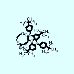 C=C1/C=C\C2=C(COCCCO1)N(c1ccc(C(C)(C)C)cc1)c1cc(C(C)(C)C)cc3c1B2c1cc(C(C)(C)C)ccc1N3c1ccc(C(C)(C)C)cc1